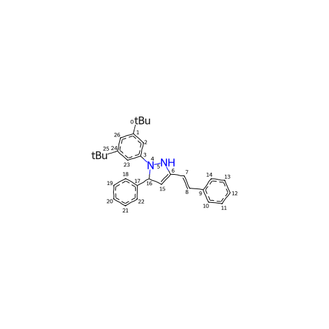 CC(C)(C)c1cc(N2NC(C=Cc3ccccc3)=CC2c2ccccc2)cc(C(C)(C)C)c1